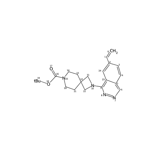 C=Cc1ccc2cnnc(N3CC4(CCN(C(=O)OC(C)(C)C)CC4)C3)c2c1